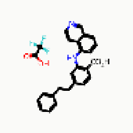 O=C(O)C(F)(F)F.O=C(O)c1ccc(CCc2ccccc2)cc1Nc1cccc2cnccc12